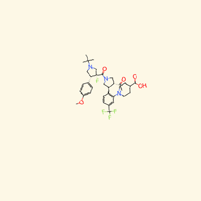 COc1ccc([C@@H]2CN(C(C)(C)C)C[C@@]2(F)C(=O)N2C[C@H](C(C)=O)[C@@H](c3ccc(C(F)(F)F)cc3N3CCC(C(=O)O)CC3)C2)cc1